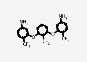 Nc1ccc(C(F)(F)F)c(Oc2cccc(Oc3cc(N)ccc3C(F)(F)F)c2C(F)(F)F)c1